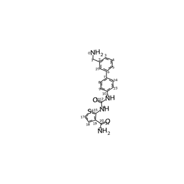 NCc1cccc(-c2ccc(NC(=O)Nc3sccc3C(N)=O)cc2)c1